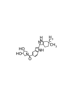 CC1(C)CCc2c(-c3cc4cc(C(=O)N5C[C@@H](O)[C@@H](O)C5)ccc4[nH]3)n[nH]c2C1